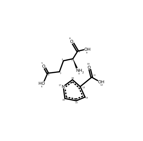 N[C@@H](CCC(=O)O)C(=O)O.O=C(O)c1cccnc1